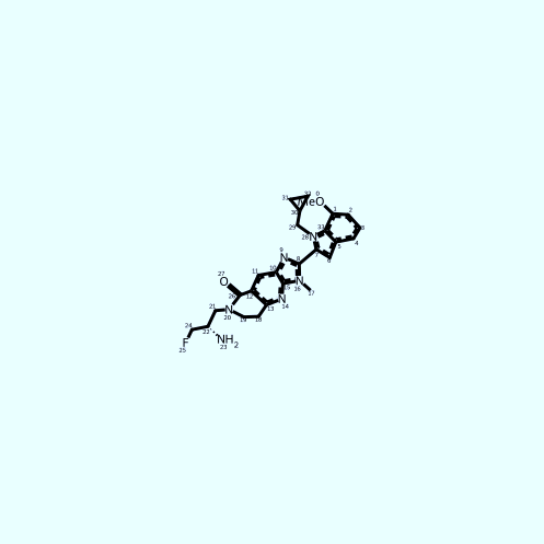 COc1cccc2cc(-c3nc4cc5c(nc4n3C)CCN(C[C@H](N)CF)C5=O)n(CC3CC3)c12